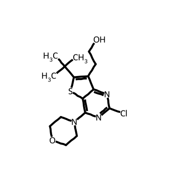 CC(C)(C)c1sc2c(N3CCOCC3)nc(Cl)nc2c1CCO